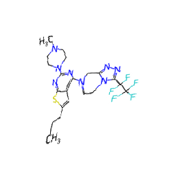 CCCc1cc2c(N3CCn4c(nnc4C(F)(F)C(F)(F)F)C3)nc(N3CCN(C)CC3)nc2s1